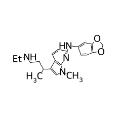 CCNCCC(C)c1cn(C)c2nc(Nc3ccc4c(c3)OCO4)ccc12